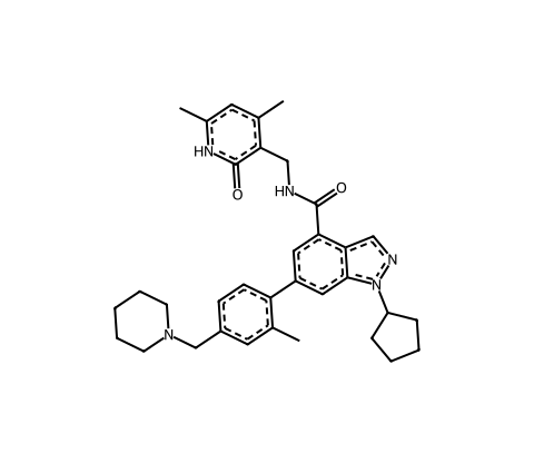 Cc1cc(C)c(CNC(=O)c2cc(-c3ccc(CN4CCCCC4)cc3C)cc3c2cnn3C2CCCC2)c(=O)[nH]1